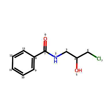 O=C(NCC(O)CCl)c1ccccc1